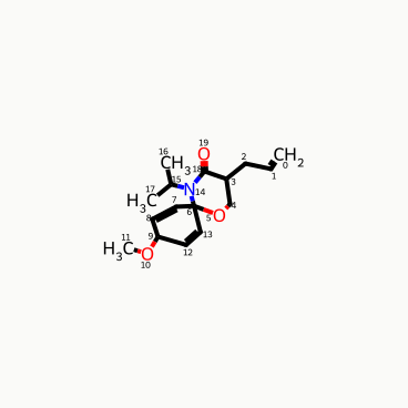 C=CCC1COC2(C=CC(OC)C=C2)N(C(C)C)C1=O